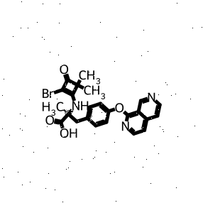 CC1(C)C(=O)C(Br)=C1N[C@@](C)(Cc1ccc(Oc2nccc3ccncc23)cc1)C(=O)O